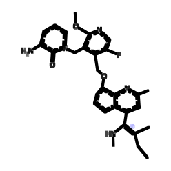 CC/C(C)=C(\NC)c1cc(C)nc2c(OCc3c(F)cnc(OC)c3Cn3cccc(N)c3=O)cccc12